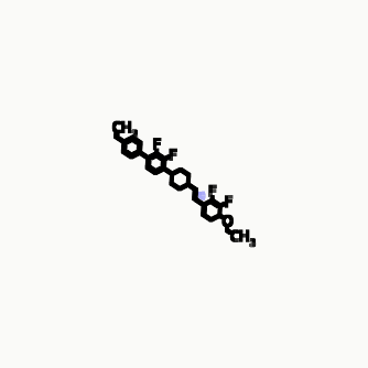 C=Cc1ccc(-c2ccc(C3CCC(/C=C/C4=CCC(OCC)C(F)=C4F)CC3)c(F)c2F)cc1